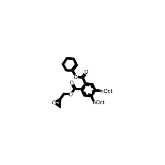 CCCCCCCCc1cc(C(=O)OCC2CO2)c(C(=O)OC2=CCCCC2)cc1CCCCCCCC